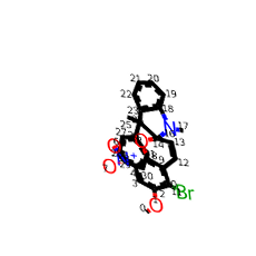 COc1cc([N+](=O)[O-])c2c(c1Br)C=CC1(O2)N(C)c2ccccc2C1(C)c1ccccc1